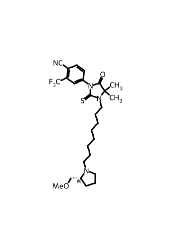 COC[C@H]1CCCN1CCCCCCCCN1C(=S)N(c2ccc(C#N)c(C(F)(F)F)c2)C(=O)C1(C)C